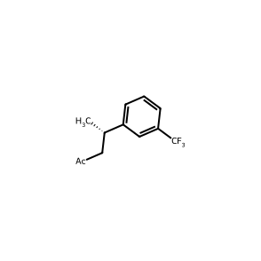 CC(=O)C[C@H](C)c1cccc(C(F)(F)F)c1